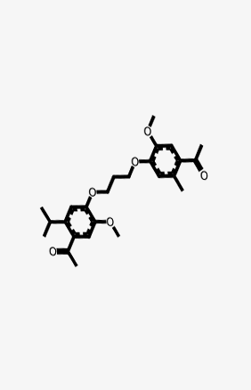 COc1cc(C(C)=O)c(C)cc1OCCCOc1cc(C(C)C)c(C(C)=O)cc1OC